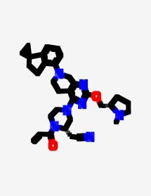 C=CC(=O)N1CCN(c2nc(OC[C@@H]3CCCN3C)nc3c2CCN(c2cccc4c2CCC42CC2)C3)C[C@@H]1CC#N